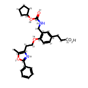 Cc1oc(-c2ccccc2)nc1CCOc1ccc(CCC(=O)O)cc1CNC(=O)OC1CCCC1